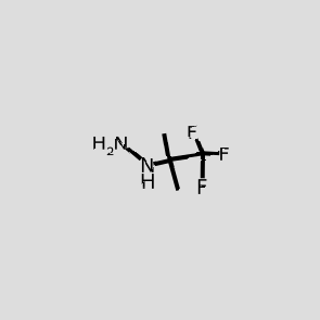 CC(C)(NN)C(F)(F)F